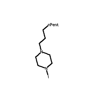 CCCCCCCCN1CCN(I)CC1